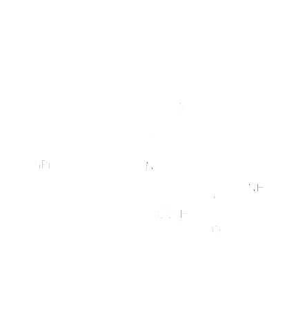 CCCc1cccc2c1CN(C(CC(N)=O)C(=O)O)C2=O